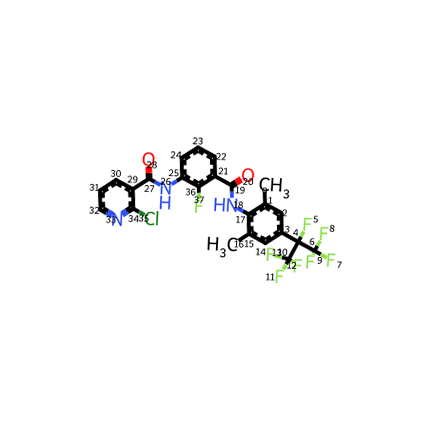 Cc1cc(C(F)(C(F)(F)F)C(F)(F)F)cc(C)c1NC(=O)c1cccc(NC(=O)c2cccnc2Cl)c1F